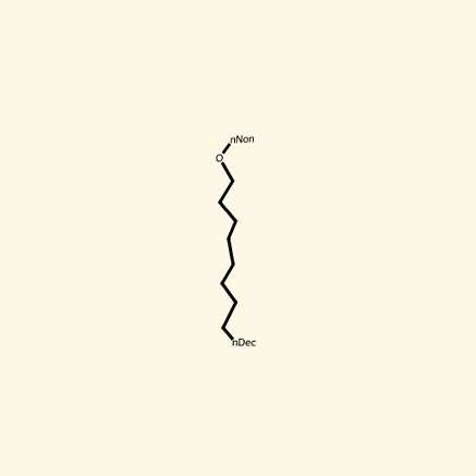 [CH2]CCCCCCCCCCCCCCCCCOCCCCCCCCC